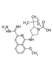 COc1cccc2cc(C(=N)NN)nc(NC3CC(C(C)(C)C)N(C(=O)O)C3)c12